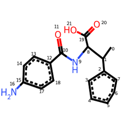 CC(c1ccccc1)C(NC(=O)c1ccc(N)cc1)C(=O)O